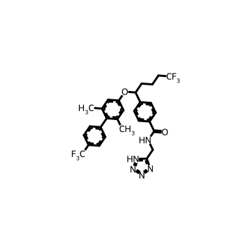 Cc1cc(OC(CCCC(F)(F)F)c2ccc(C(=O)NCc3nnn[nH]3)cc2)cc(C)c1-c1ccc(C(F)(F)F)cc1